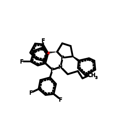 CCCCN(P(c1cc(F)cc(F)c1)c1cc(F)cc(F)c1)P1[C@H](c2ccccc2)CC[C@H]1c1ccccc1